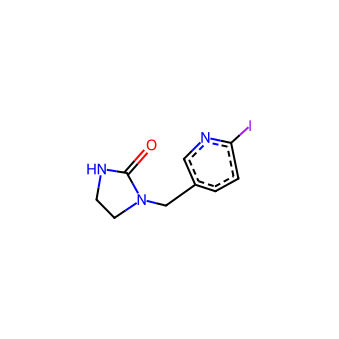 O=C1NCCN1Cc1ccc(I)nc1